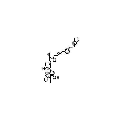 O=C1COc2c(C(O)CNCCN(C(=O)CCOCCc3cccc(CCN4CC5CCCC5C4)c3)C3CC3)ccc(O)c2N1